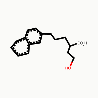 O=C(O)C(CCO)CCCc1ccc2ccccc2c1